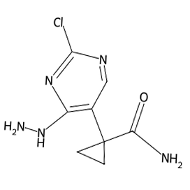 NNc1nc(Cl)ncc1C1(C(N)=O)CC1